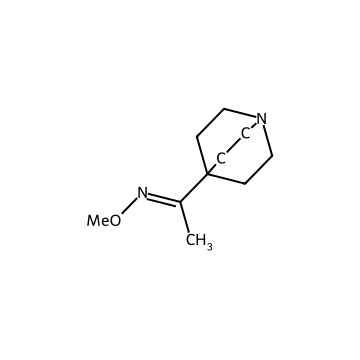 CON=C(C)C12CCN(CC1)CC2